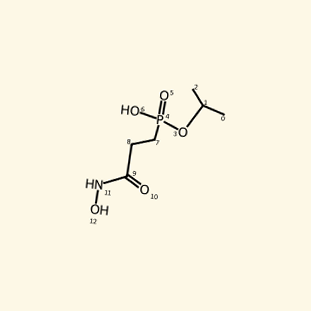 CC(C)OP(=O)(O)CCC(=O)NO